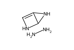 C1=C2NC2N1.NN